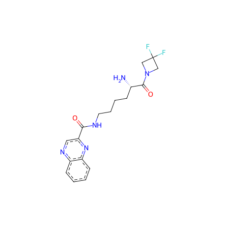 N[C@@H](CCCCNC(=O)c1cnc2ccccc2n1)C(=O)N1CC(F)(F)C1